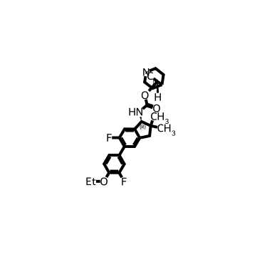 CCOc1ccc(-c2cc3c(cc2F)[C@H](NC(=O)O[C@@H]2CN4CCC2CC4)C(C)(C)C3)cc1F